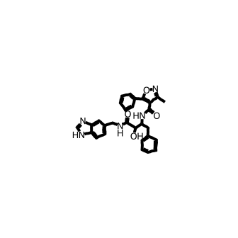 Cc1noc(-c2ccccc2)c1C(=O)NC(Cc1ccccc1)C(O)C(=O)NCc1ccc2[nH]cnc2c1